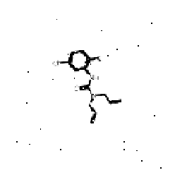 C=CCN(CC=C)C(=O)Nc1cc(Cl)ccc1Cl